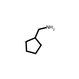 NCC1[CH]CCC1